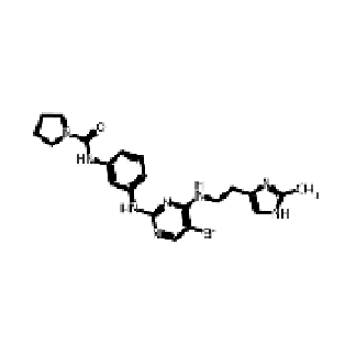 Cc1nc(CCNc2nc(Nc3cccc(NC(=O)N4CCCC4)c3)ncc2Br)c[nH]1